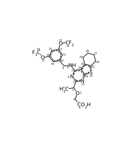 CC(OCC(=O)O)c1nc(NCc2cc(OC(F)(F)F)cc(OC(F)(F)F)c2)c2c3c(sc2n1)CCCC3